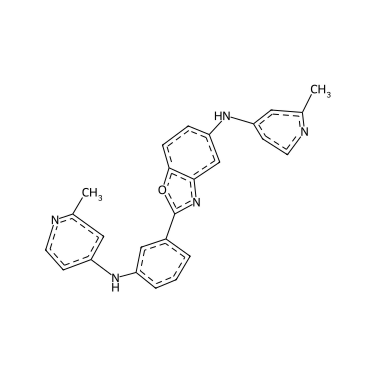 Cc1cc(Nc2cccc(-c3nc4cc(Nc5ccnc(C)c5)ccc4o3)c2)ccn1